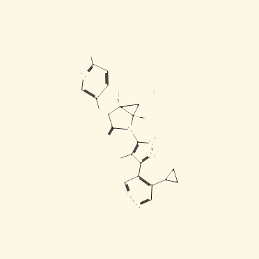 Cc1c(-c2cnncc2C2CC2)nn(C)c1N1C(=O)[C@H](Cc2ccc(Cl)nc2)[C@@H]2[C@H](C)[C@@H]21